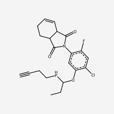 C#CCCPC(CC)Oc1cc(N2C(=O)C3C=CCCC3C2=O)c(F)cc1Cl